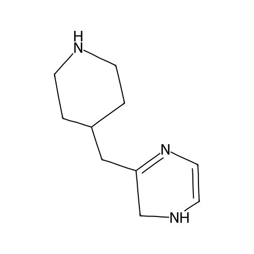 C1=CNCC(CC2CCNCC2)=N1